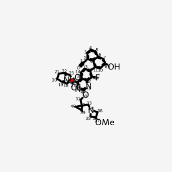 C#Cc1cccc2cc(O)cc(-c3ccc4c(N5CC6CCC(C5)N6C(=O)C(F)(F)F)nc(OCC5(CN6CC(OC)C6)CC5)nc4c3F)c12